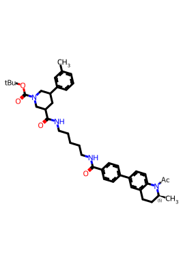 CC(=O)N1c2ccc(-c3ccc(C(=O)NCCCCCNC(=O)C4CC(c5cccc(C)c5)CN(C(=O)OC(C)(C)C)C4)cc3)cc2CC[C@@H]1C